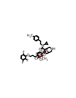 Cc1ccc(CCN(C(=O)C2=C(c3ccc(CCCOc4c(F)ccc(F)c4F)cc3)CC3CNCC2N3C(=O)OC(C)(C)C(Cl)(Cl)Cl)C2CC2)cc1